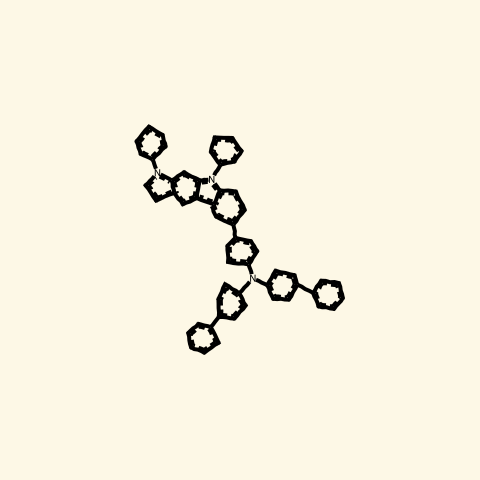 c1ccc(-c2ccc(N(c3ccc(-c4ccccc4)cc3)c3ccc(-c4ccc5c(c4)c4cc6ccn(-c7ccccc7)c6cc4n5-c4ccccc4)cc3)cc2)cc1